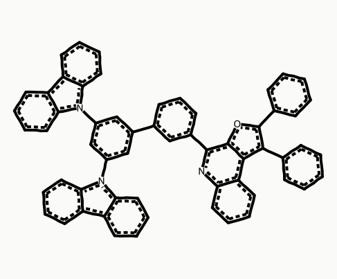 c1ccc(-c2oc3c(-c4cccc(-c5cc(-n6c7ccccc7c7ccccc76)cc(-n6c7ccccc7c7ccccc76)c5)c4)nc4ccccc4c3c2-c2ccccc2)cc1